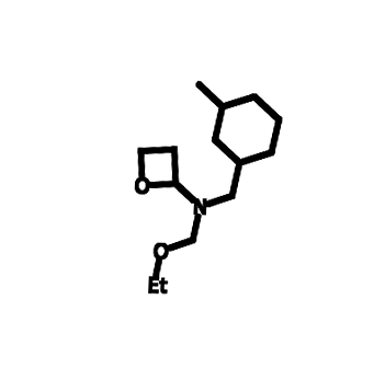 CCOCN(CC1CCCC(C)C1)C1CCO1